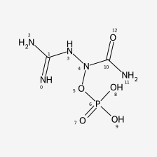 N=C(N)NN(OP(=O)(O)O)C(N)=O